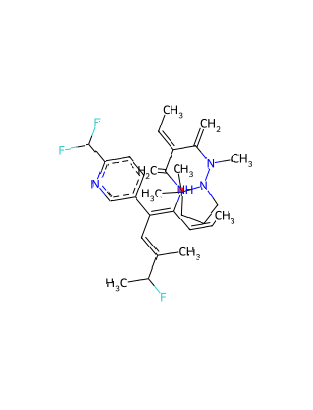 C=C(NC(/C=C\C)=C(/C=C(\C)C(C)F)c1ccc(C(F)F)nc1)/C(=C/C)C(=C)N(C)N1CCCC1(C)C